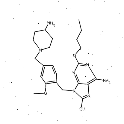 CCCCOc1nc(N)c2nc(O)n(Cc3ccc(CN4CCC(N)CC4)cc3OC)c2n1